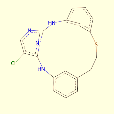 Clc1cnc2nc1Nc1cccc(c1)CCSc1cccc(c1)N2